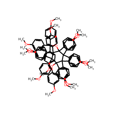 COc1ccc(OC2(c3ccc(OC)cc3)C(c3ccc(OC)cc3)(c3ccc(OC)cc3)C(c3ccc(OC)cc3)(c3ccc(OC)cc3)C(OC(c3ccc(OC)cc3)(c3ccc(OC)cc3)c3ccc(OC)cc3)(c3ccc(OC)cc3)C(c3ccc(OC)cc3)(c3ccc(OC)cc3)C2(c2ccc(OC)cc2)c2ccc(OC)cc2)cc1